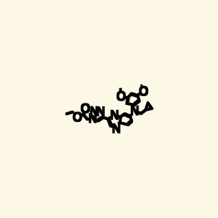 CCOC(=O)Cn1cc(-c2cnc3ccc(N(CC4CC4)c4cc(OC)cc(OC)c4)cc3n2)nn1